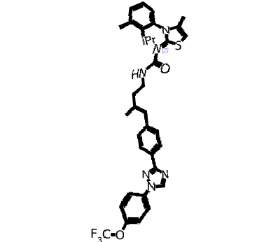 Cc1cccc(-n2c(C)cs/c2=N\C(=O)NCCC(C)Cc2ccc(-c3ncn(-c4ccc(OC(F)(F)F)cc4)n3)cc2)c1C(C)C